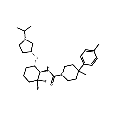 Cc1ccc(C2(C)CCN(C(=O)N[C@@H]3[C@@H](O[C@@H]4CCN(C(C)C)C4)CCCC3(F)F)CC2)cc1